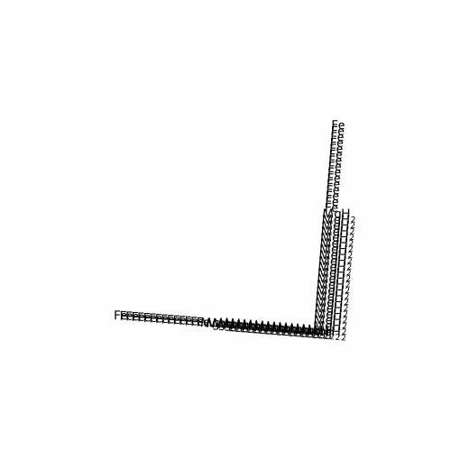 [Fe].[Fe].[Fe].[Fe].[Fe].[Fe].[Fe].[Fe].[Fe].[Fe].[Fe].[Fe].[Fe].[Fe].[Fe].[Fe].[Fe].[Fe].[Fe].[Fe].[Fe].[Fe].[Fe].[Fe].[Fe].[Fe].[Fe].[Fe].[Fe].[Fe].[MgH2].[MgH2].[MgH2].[MgH2].[MgH2].[MgH2].[MgH2].[MgH2].[MgH2].[MgH2].[MgH2].[MgH2].[MgH2].[MgH2].[MgH2].[MgH2].[MgH2].[MgH2].[MgH2].[MgH2].[MgH2].[MgH2].[MgH2].[MgH2].[MgH2].[MgH2].[MgH2].[MgH2].[MgH2].[MgH2].[MgH2].[MgH2].[MgH2].[MgH2].[MgH2].[MgH2].[MgH2].[MgH2].[MgH2].[MgH2]